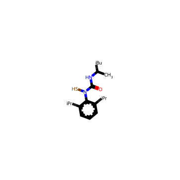 CCC(C)C(C)NC(=O)N(S)c1c(C(C)C)cccc1C(C)C